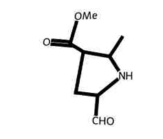 COC(=O)C1CC(C=O)NC1C